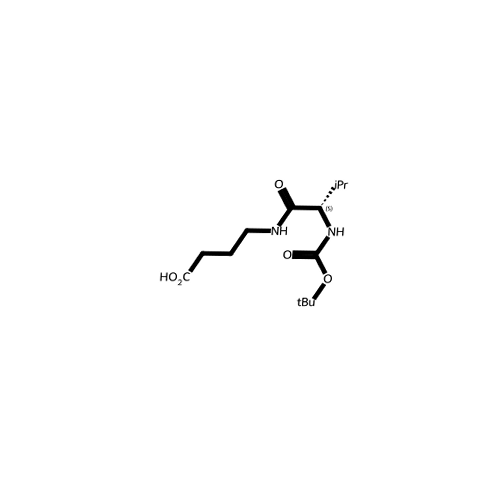 CC(C)[C@H](NC(=O)OC(C)(C)C)C(=O)NCCCC(=O)O